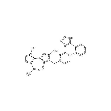 CCCCc1cn(-c2c(C(=O)C(F)(F)F)ccn2C(C)C)c(=O)n1Cc1ccc(-c2ccccc2-c2nnn[nH]2)cn1